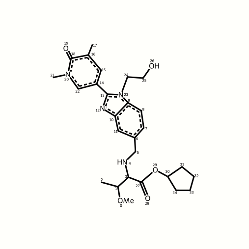 COC(C)C(NCc1ccc2c(c1)nc(-c1cc(C)c(=O)n(C)c1)n2CCO)C(=O)OC1CCCC1